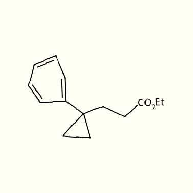 CCOC(=O)CCC1(c2ccccc2)CC1